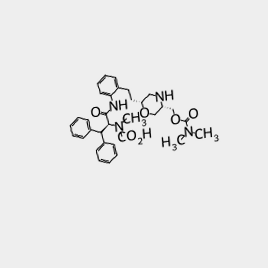 CN(C)C(=O)OC[C@@H]1CO[C@H](CCc2ccccc2NC(=O)[C@H](C(c2ccccc2)c2ccccc2)N(C)C(=O)O)CN1